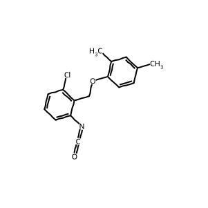 Cc1ccc(OCc2c(Cl)cccc2N=C=O)c(C)c1